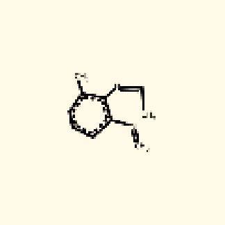 C=Nc1cccc(C)c1/N=C\C